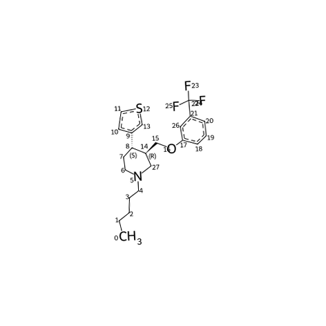 CCCCCN1CC[C@H](c2ccsc2)[C@@H](COc2cccc(C(F)(F)F)c2)C1